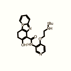 CC(C)(C)NCCOc1ccncc1NC(=O)C1=C(O)CCc2c1nc1ccccn21